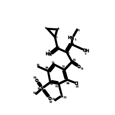 CN/C(O)=C(\C(=N)C1CC1)C(=O)c1cc(C)c(S(C)(=O)=O)c(SC)c1Cl